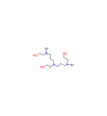 CCN(CCO)CCCN(CCO)CCCN(CC)CCO